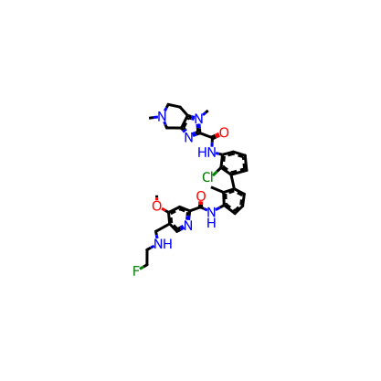 COc1cc(C(=O)Nc2cccc(-c3cccc(NC(=O)c4nc5c(n4C)CCN(C)C5)c3Cl)c2C)ncc1CNCCF